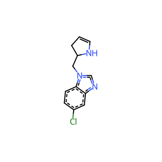 Clc1ccc2c(c1)ncn2CC1CC=CN1